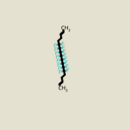 C/C=C/CCC(F)(F)C(F)(F)C(F)(F)C(F)(F)C(F)(F)C(F)(F)C(F)(F)C(F)(F)CC/C=C/C